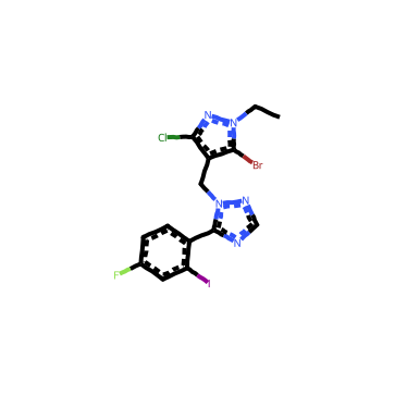 CCn1nc(Cl)c(Cn2ncnc2-c2ccc(F)cc2I)c1Br